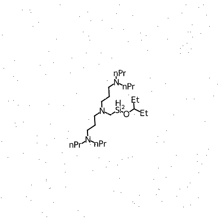 CCCN(CCC)CCCN(CCCN(CCC)CCC)C[SiH2]OC(CC)CC